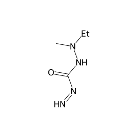 CCN(C)NC(=O)N=N